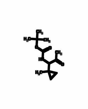 CC(=O)C(NC(=O)OC(C)(C)C)C1(C)CC1